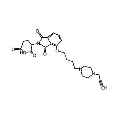 C#CCN1CCN(CCCCOc2cccc3c2C(=O)N(C2CCC(=O)NC2=O)C3=O)CC1